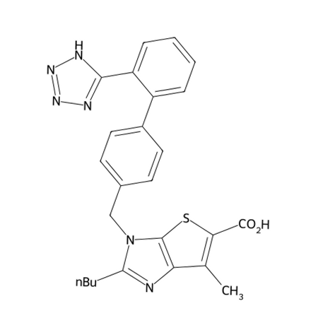 CCCCc1nc2c(C)c(C(=O)O)sc2n1Cc1ccc(-c2ccccc2-c2nnn[nH]2)cc1